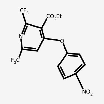 CCOC(=O)c1c(Oc2ccc([N+](=O)[O-])cc2)cc(C(F)(F)F)nc1C(F)(F)F